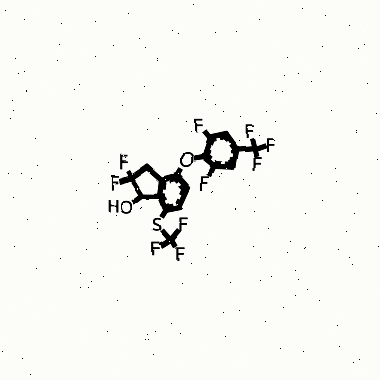 OC1c2c(SC(F)(F)F)ccc(Oc3c(F)cc(C(F)(F)F)cc3F)c2CC1(F)F